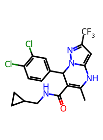 CC1=C(C(=O)NCC2CC2)C(c2ccc(Cl)c(Cl)c2)n2nc(C(F)(F)F)cc2N1